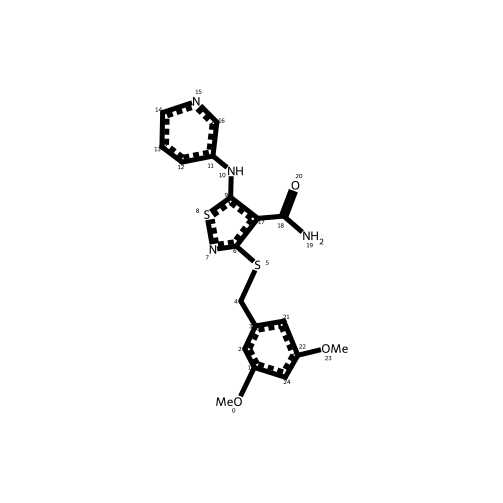 COc1cc(CSc2nsc(Nc3cccnc3)c2C(N)=O)cc(OC)c1